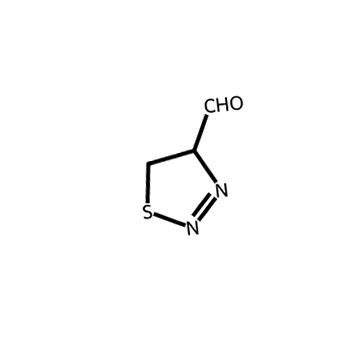 O=CC1CSN=N1